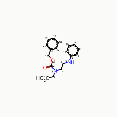 O=C(O)CN(CCNc1ccccc1)C(=O)OCc1ccccc1